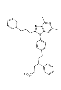 Cc1cc2c(nc(CCCc3ccccc3)n2-c2ccc(CCC(CCC(=O)O)c3ccccc3)cc2)c(C)n1